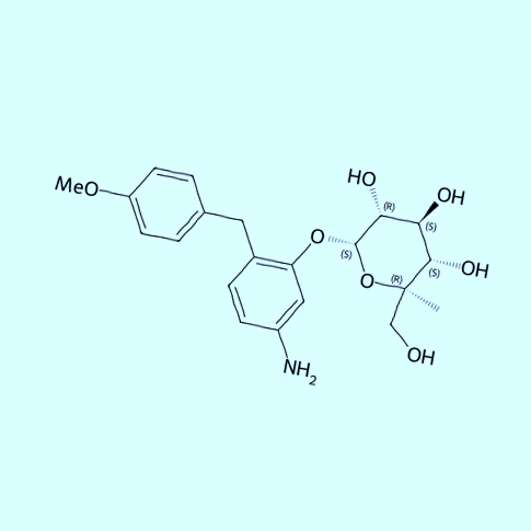 COc1ccc(Cc2ccc(N)cc2O[C@H]2O[C@](C)(CO)[C@@H](O)[C@H](O)[C@H]2O)cc1